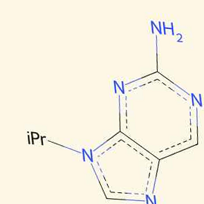 CC(C)n1cnc2cnc(N)nc21